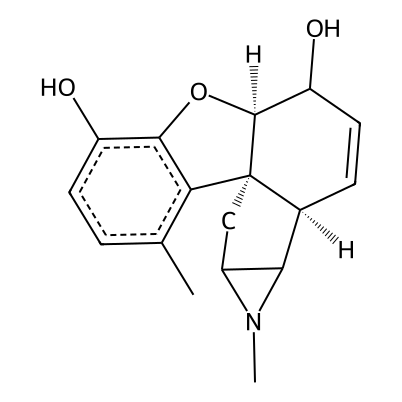 Cc1ccc(O)c2c1[C@]13CC4C([C@@H]1C=CC(O)[C@@H]3O2)N4C